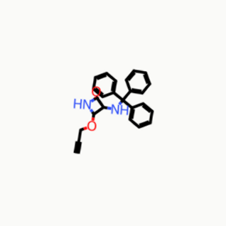 C#CCOC1NC(=O)C1NC(c1ccccc1)(c1ccccc1)c1ccccc1